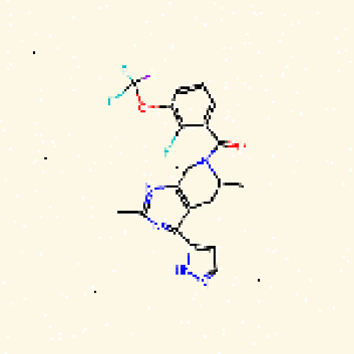 Cc1nc2c(c(-c3ccn[nH]3)n1)CC(C)N(C(=O)c1cccc(OC(F)(F)I)c1F)C2